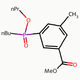 CCCCP(=O)(OCCC)c1cc(C)cc(C(=O)OC)c1